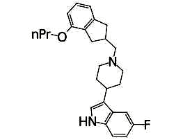 CCCOc1cccc2c1CC(CN1CCC(c3c[nH]c4ccc(F)cc34)CC1)C2